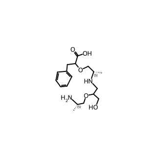 C[C@H](N)COC(CO)CN[C@@H](C)COC(Cc1ccccc1)C(=O)O